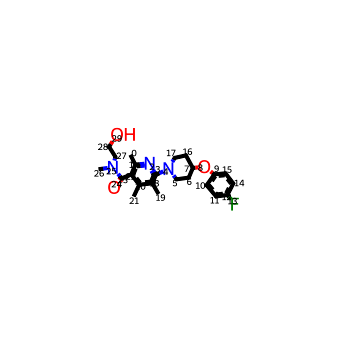 Cc1nc(N2CCC(Oc3ccc(F)cc3)CC2)c(C)c(C)c1C(=O)N(C)CCO